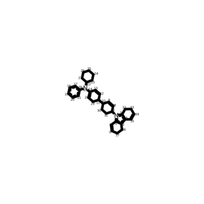 C1=Cc2c(c3c(n2C2C=CC(C4C=CC(N(c5ccccc5)C5CCCCC5)=CC4)CC2)CCC=C3)CC1